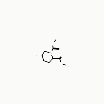 CCCCOC(=O)C1CC[C@H](O)CN1C(=O)OC(C)(C)C